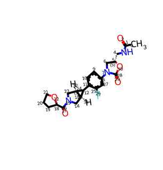 CC(=O)NC[C@H]1CN(c2ccc(C3[C@H]4CN(C(=O)C5CCCO5)C[C@@H]34)c(F)c2)C(=O)O1